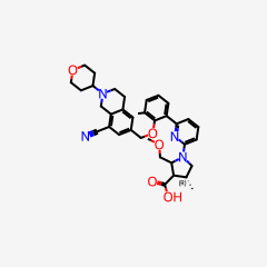 COCC1C(C(=O)O)[C@@H](C)CN1c1cccc(-c2cccc(C)c2OCc2cc(C#N)c3c(c2)CCN(C2CCOCC2)C3)n1